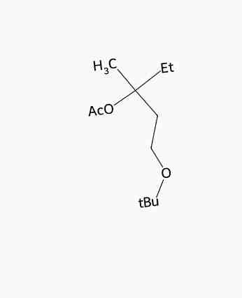 CCC(C)(CCOC(C)(C)C)OC(C)=O